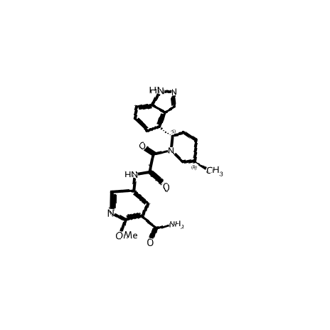 COc1ncc(NC(=O)C(=O)N2C[C@H](C)CC[C@H]2c2cccc3[nH]ncc23)cc1C(N)=O